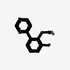 NCc1c(F)cccc1-c1ccncn1